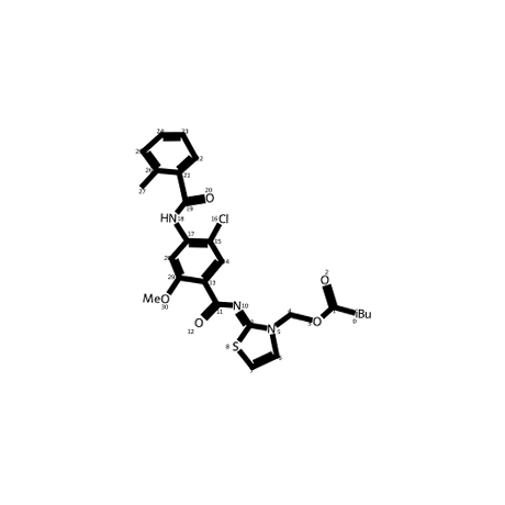 CCC(C)C(=O)OCn1ccs/c1=N\C(=O)c1cc(Cl)c(NC(=O)c2ccccc2C)cc1OC